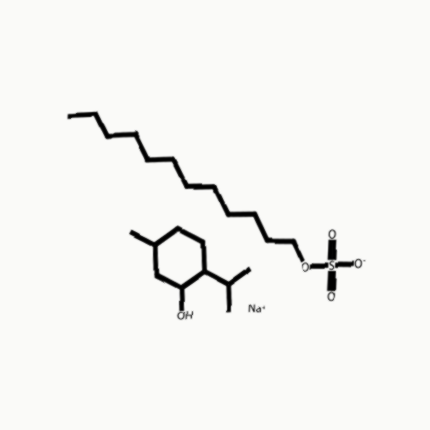 CC1CCC(C(C)C)C(O)C1.CCCCCCCCCCCCOS(=O)(=O)[O-].[Na+]